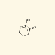 OC1C(=S)C2CCN1CC2